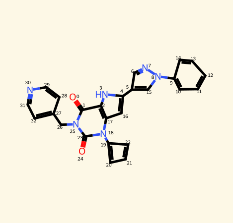 O=c1c2[nH]c(-c3cnn(-c4ccccc4)c3)cc2n(C2=CC=C2)c(=O)n1Cc1ccncc1